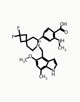 CNc1cc([C@@H]2CC3(CCN2Cc2c(OC)cc(C)c4[nH]ccc24)CC(F)(F)C3)ccc1C(=O)O